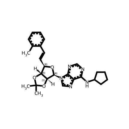 Cc1ccccc1C=C[C@H]1O[C@@H](n2cnc3c(NC4CCCC4)ncnc32)[C@H]2OC(C)(C)O[C@@H]21